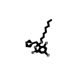 CCCCCCCCOC([CH]n1ccnc1)(O[N+](=O)[O-])c1ccc(Cl)cc1Cl